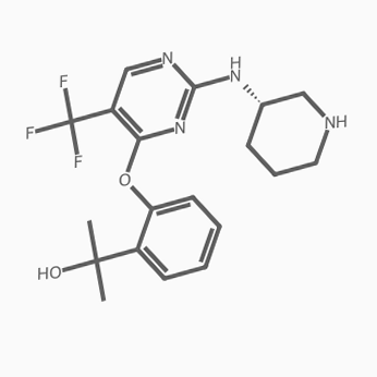 CC(C)(O)c1ccccc1Oc1nc(N[C@H]2CCCNC2)ncc1C(F)(F)F